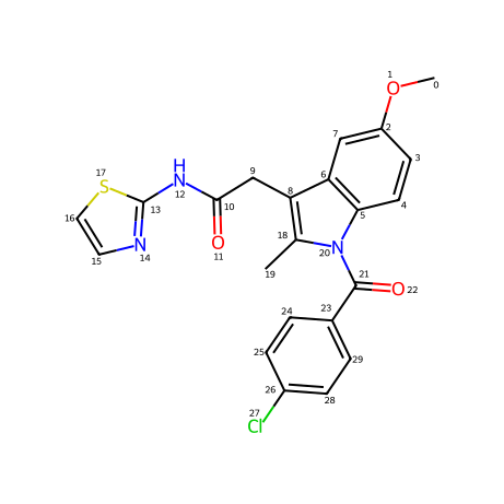 COc1ccc2c(c1)c(CC(=O)Nc1nccs1)c(C)n2C(=O)c1ccc(Cl)cc1